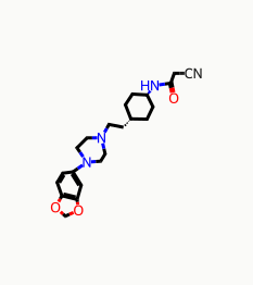 N#CCC(=O)N[C@H]1CC[C@H](CCN2CCN(c3ccc4c(c3)OCO4)CC2)CC1